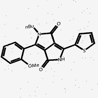 CCCCN1C(=O)C2=C(c3cccs3)NC(=O)C2=C1c1ccccc1OC